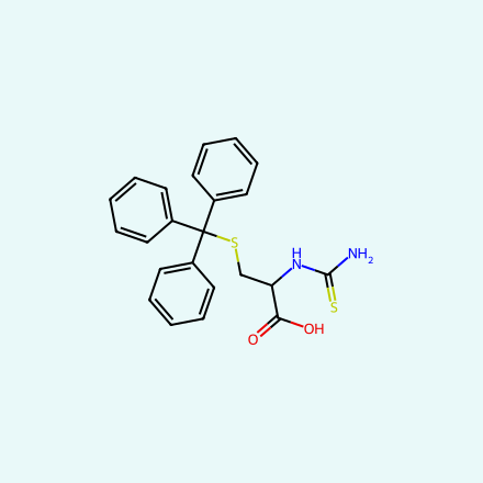 NC(=S)NC(CSC(c1ccccc1)(c1ccccc1)c1ccccc1)C(=O)O